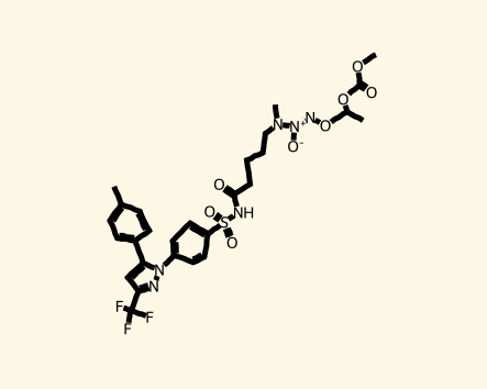 COC(=O)OC(C)O/N=[N+](\[O-])N(C)CCCCC(=O)NS(=O)(=O)c1ccc(-n2nc(C(F)(F)F)cc2-c2ccc(C)cc2)cc1